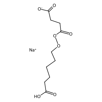 O=C([O-])CCC(=O)OOCCCCCC(=O)O.[Na+]